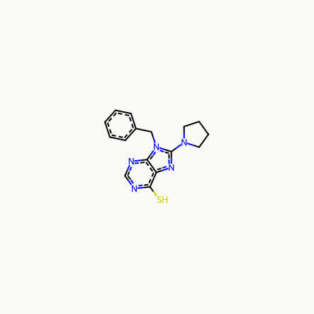 Sc1ncnc2c1nc(N1CCCC1)n2Cc1ccccc1